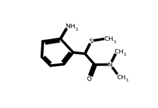 CSC(C(=O)N(C)C)c1ccccc1N